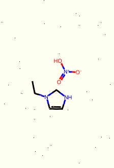 CCN1C=CNC1.O=[N+]([O-])O